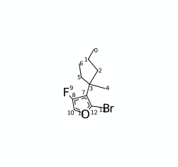 CCCC(C)(CC)c1c(F)coc1Br